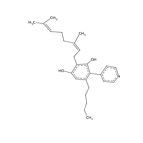 CCCCCc1cc(O)c(CC=C(C)CCC=C(C)C)c(O)c1-c1ccncc1